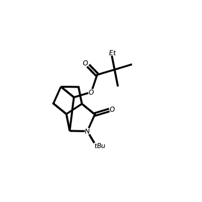 CCC(C)(C)C(=O)OC1C2CC3C(=O)N(C(C)(C)C)C1C3C2